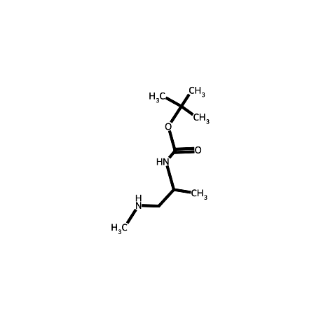 CNCC(C)NC(=O)OC(C)(C)C